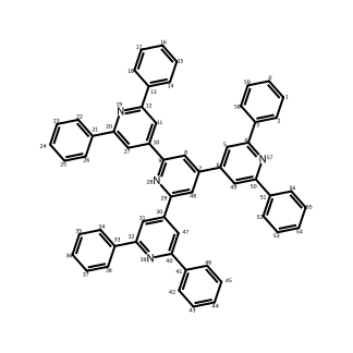 c1ccc(-c2cc(-c3cc(-c4cc(-c5ccccc5)nc(-c5ccccc5)c4)nc(-c4cc(-c5ccccc5)nc(-c5ccccc5)c4)c3)cc(-c3ccccc3)n2)cc1